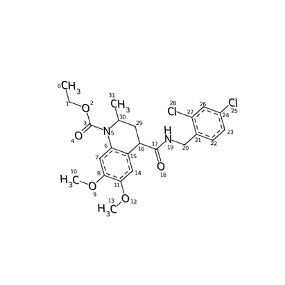 CCOC(=O)N1c2cc(OC)c(OC)cc2C(C(=O)NCc2ccc(Cl)cc2Cl)CC1C